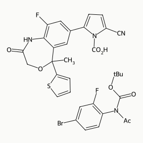 CC(=O)N(C(=O)OC(C)(C)C)c1ccc(Br)cc1F.CC1(c2cccs2)OCC(=O)Nc2c(F)cc(-c3ccc(C#N)n3C(=O)O)cc21